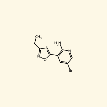 CCc1noc(-c2cc(Br)cnc2N)n1